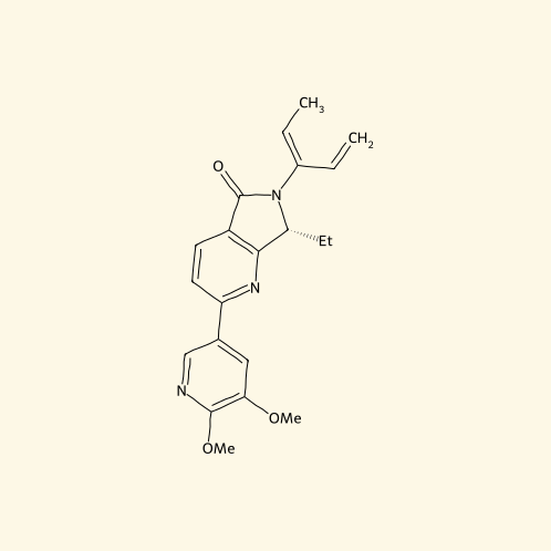 C=C/C(=C\C)N1C(=O)c2ccc(-c3cnc(OC)c(OC)c3)nc2[C@H]1CC